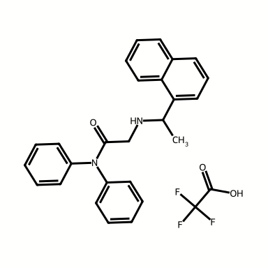 CC(NCC(=O)N(c1ccccc1)c1ccccc1)c1cccc2ccccc12.O=C(O)C(F)(F)F